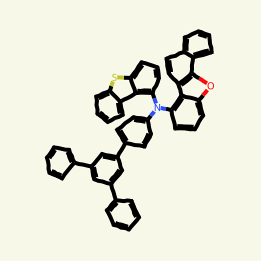 c1ccc(-c2cc(-c3ccccc3)cc(-c3ccc(N(c4cccc5oc6c7ccccc7ccc6c45)c4cccc5sc6ccccc6c45)cc3)c2)cc1